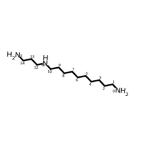 NCCCCCCCCCCNCCCN